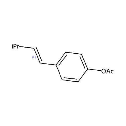 CC(=O)Oc1ccc(/C=C/C(C)C)cc1